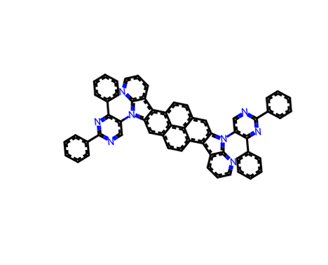 c1ccc(-c2ncc(-n3c4cc5ccc6c7c(ccc(c57)c4c4cccnc43)cc3c6c4cccnc4n3-c3cnc(-c4ccccc4)nc3-c3ccccc3)c(-c3ccccc3)n2)cc1